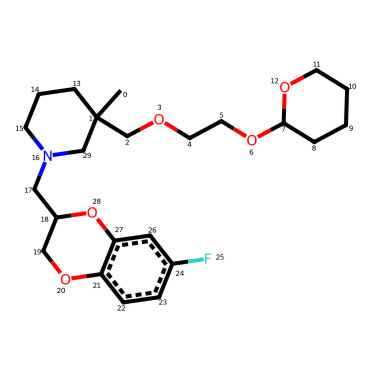 CC1(COCCOC2CCCCO2)CCCN(CC2COc3ccc(F)cc3O2)C1